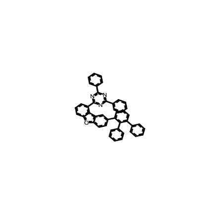 c1ccc(-c2nc(-c3ccccc3)nc(-c3cccc4oc5ccc(-c6cccc(-c7ccccc7)c6-c6ccccc6)cc5c34)n2)cc1